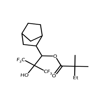 CCC(C)(C)C(=O)OC(C1CC2CCC1C2)C(O)(C(F)(F)F)C(F)(F)F